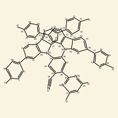 Cc1ccc(-c2ccc3c4ccc(-c5ccc(C)cc5)cc4n(-c4cc(C#N)c(-c5nc(C)cc(C)n5)cc4-n4c5cc(-c6ccc(C)cc6)ccc5c5ccc(-c6ccc(C)cc6)cc54)c3c2)cc1